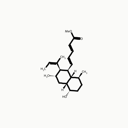 C/C=C(/C)[C@H]1[C@@H](/C=C/C=C/C(=O)OC)[C@H]2[C@@H](C[C@@H]1C)[C@@H](O)CC[C@@H]2C